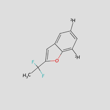 [2H]c1cc([2H])c2oc(C(C)(F)F)cc2c1